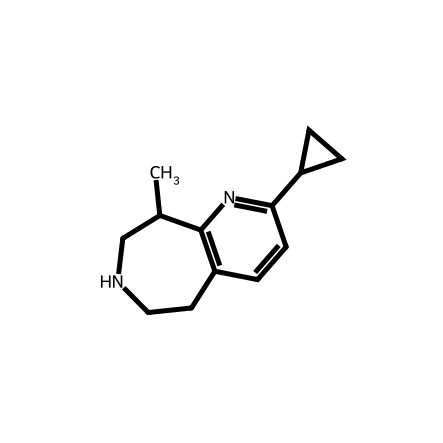 CC1CNCCc2ccc(C3CC3)nc21